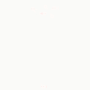 C1CO1.CCCCCCCCCCCCCO.O=S(=O)(O)O